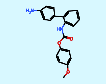 COc1ccc(OC(=O)Nc2ccccc2-c2ccc(N)cc2)cc1